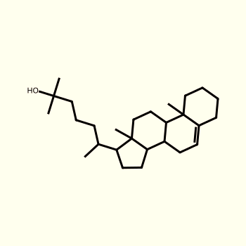 CC(CCCC(C)(C)O)C1CCC2C3CC=C4CCCCC4(C)C3CCC12C